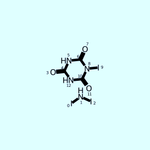 INI.O=c1[nH]c(=O)n(I)c(=O)[nH]1